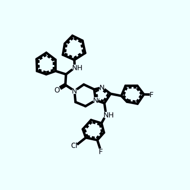 O=C(C(Nc1ccccc1)c1ccccc1)N1CCn2c(nc(-c3ccc(F)cc3)c2Nc2ccc(Cl)c(F)c2)C1